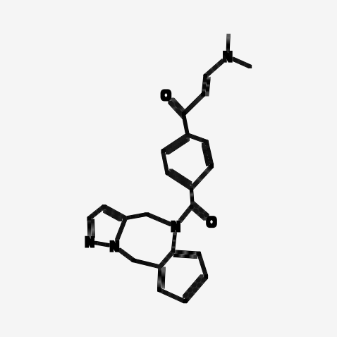 CN(C)/C=C/C(=O)c1ccc(C(=O)N2Cc3ccnn3Cc3ccccc32)cc1